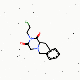 O=C1CN2Cc3ccccc3CC2C(=O)N1CCCl